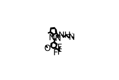 COc1cc(-c2nc(NCCCN(C)C)c3cccc(C)c3n2)cc(C(F)(F)F)c1